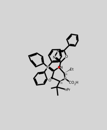 CCCC(C)(C)[C@@H](C(=O)C(C#N)=P(c1ccccc1)(c1ccccc1)c1ccccc1)N(C(=O)O)[C@@H](CC)Cc1nnc(-c2ccccc2)o1